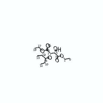 CCOC(=O)[C@@H](O)[C@H](OC(CC)CC)C(=O)OCC